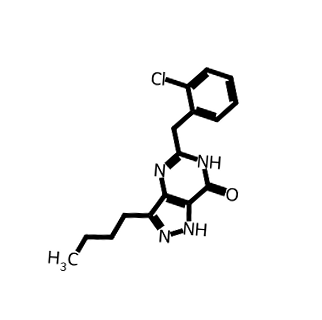 CCCCc1n[nH]c2c(=O)[nH]c(Cc3ccccc3Cl)nc12